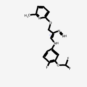 Cc1cccc(OC/C(=C/Nc2ccc(F)c(OC(F)F)c2)N=N)n1